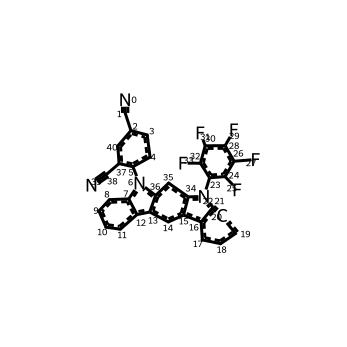 N#Cc1ccc(-n2c3ccccc3c3cc4c5ccccc5n(-c5c(F)c(F)c(F)c(F)c5F)c4cc32)c(C#N)c1